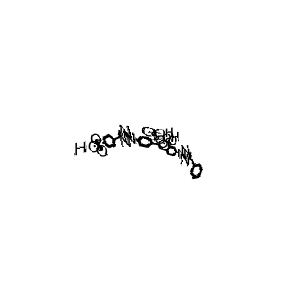 O=S(=O)(O)c1ccc(-c2cnn(-c3ccc(C=Cc4ccc(-n5ncc(-c6ccccc6)n5)cc4S(=O)(=O)O)c(S(=O)(=O)O)c3)n2)cc1